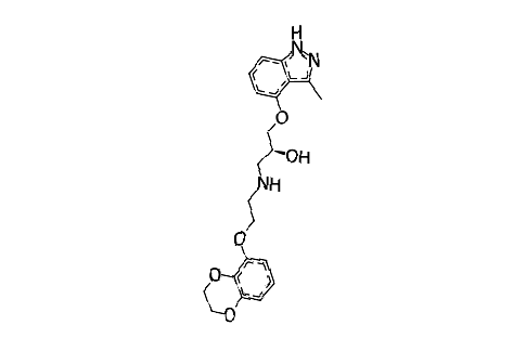 Cc1n[nH]c2cccc(OC[C@@H](O)CNCCOc3cccc4c3OCCO4)c12